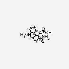 CN(Cc1ccc(N=O)c(C[C@H](N)C(=O)O)c1)c1ccccc1